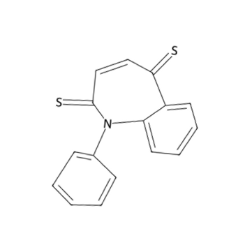 S=c1ccc(=S)n(-c2ccccc2)c2ccccc12